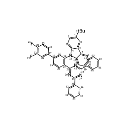 CC(C)(C)c1ccc2c(c1)c1ccccc1n2-c1cc(-c2ccc(F)c(F)c2)ccc1-c1nc(-c2ccccc2)nc(-c2ccccc2)n1